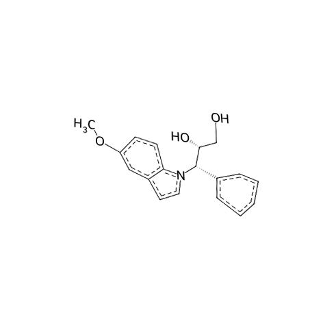 COc1ccc2c(ccn2[C@@H](c2ccccc2)[C@H](O)CO)c1